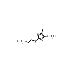 Cc1nc(SCCC(=O)O)sc1C(=O)O